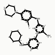 Nc1nc(Nc2ccc(N3CCOCC3)cc2F)nn1-c1cc(NC2CCCCC2)ncn1